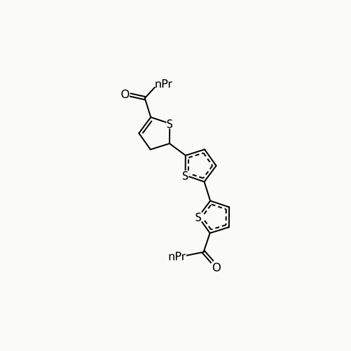 CCCC(=O)C1=CCC(c2ccc(-c3ccc(C(=O)CCC)s3)s2)S1